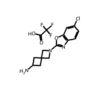 NC1CC2(C1)CN(c1nc3ccc(Cl)cc3o1)C2.O=C(O)C(F)(F)F